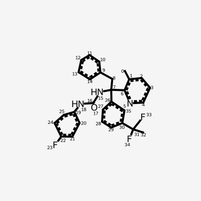 Cc1cccnc1C(Cc1ccccc1)(NC(=O)Nc1ccc(F)cc1)c1cccc(C(C)(F)F)c1